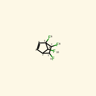 FC1C2C=CC(F)(C1F)C2F